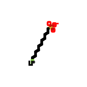 O=S(=O)([O-])CCCCCCCCCCCF.[Li+]